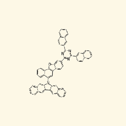 c1ccc2cc(-c3nc(-c4ccc5ccccc5c4)nc(-c4ccc5c(c4)oc4c6ccccc6c(-n6c7cc8ccccc8cc7c7cc8ccccc8cc76)cc54)n3)ccc2c1